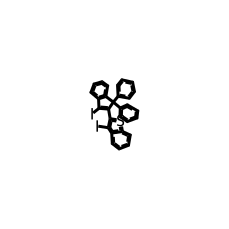 IC1=C(c2sc3ccccc3c2I)C(c2ccccc2)(c2ccccc2)c2ccccc21